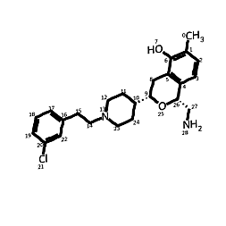 Cc1ccc2c(c1O)C[C@@H](C1CCN(CCc3cccc(Cl)c3)CC1)O[C@H]2CN